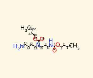 CCCCOC(=O)NCCCN(CCCCN)C(=O)OCCCC